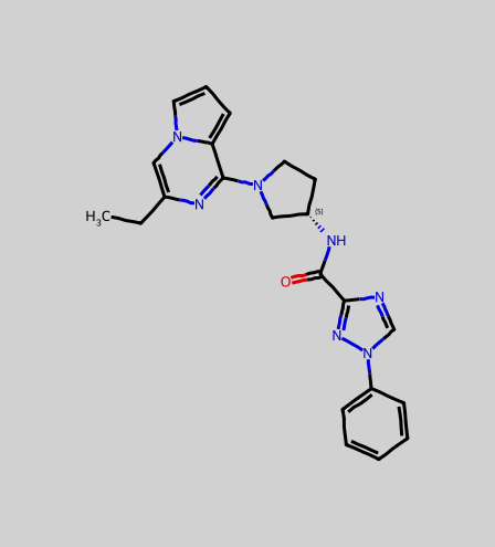 CCc1cn2cccc2c(N2CC[C@H](NC(=O)c3ncn(-c4ccccc4)n3)C2)n1